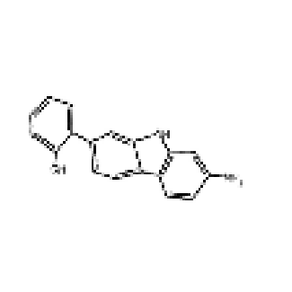 Nc1ccc2c(c1)[nH]c1cc(-c3ccccc3O)ccc12